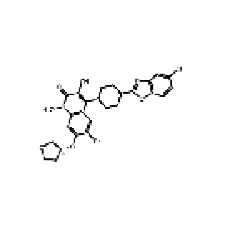 Cc1ccc2oc(C3CCN(c4c(C#N)c(=O)n(C)c5cc(O[C@@H]6CCOC6)c(Br)cc45)CC3)nc2c1